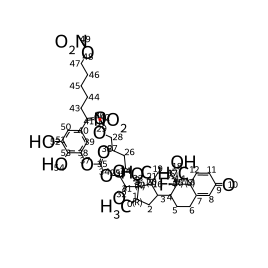 C[C@@H]1CC2C3CCC4=CC(=O)C=C[C@]4(C)[C@@]3(F)[C@@H](O)C[C@]2(C)[C@@]1(OC(=O)CCCO[N+](=O)[O-])C(=O)COC(=O)Oc1cc(C(=O)CCCCCO[N+](=O)[O-])cc(O)c1O